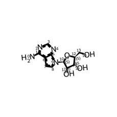 Nc1ncnc2c1ccn2[C@H]1O[C@@H](CO)[C@H](O)[C@H]1O